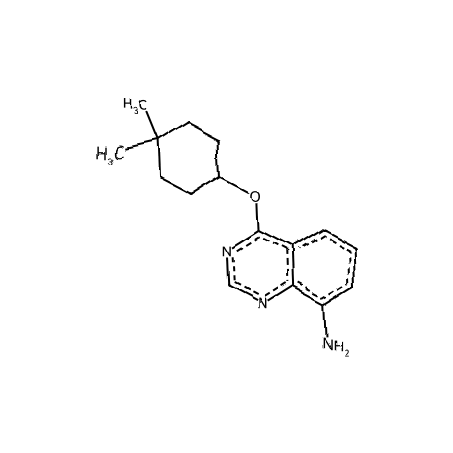 CC1(C)CCC(Oc2ncnc3c(N)cccc23)CC1